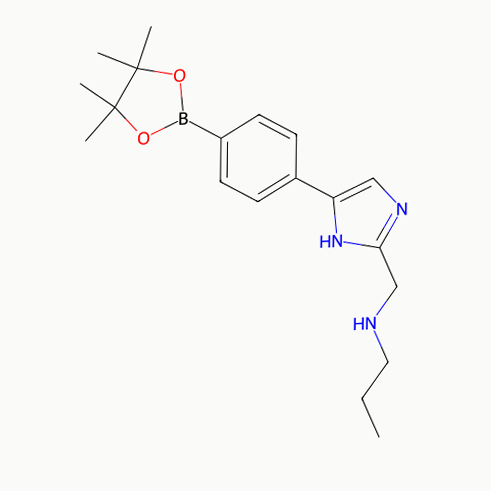 CCCNCc1ncc(-c2ccc(B3OC(C)(C)C(C)(C)O3)cc2)[nH]1